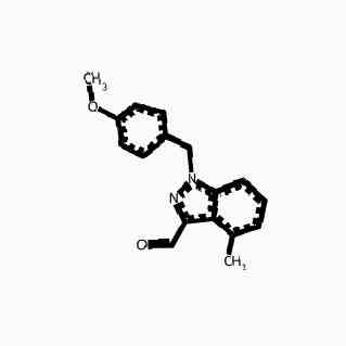 COc1ccc(Cn2nc(C=O)c3c(C)cccc32)cc1